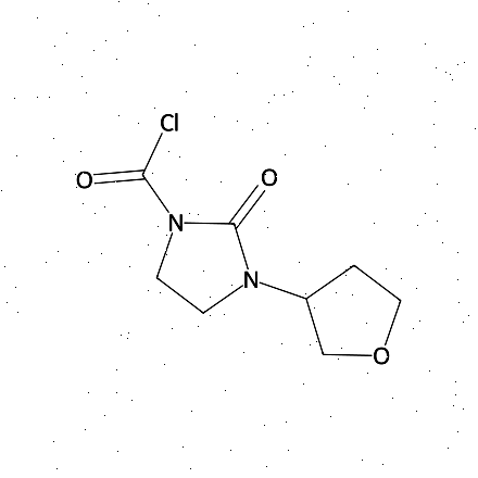 O=C(Cl)N1CCN(C2CCOC2)C1=O